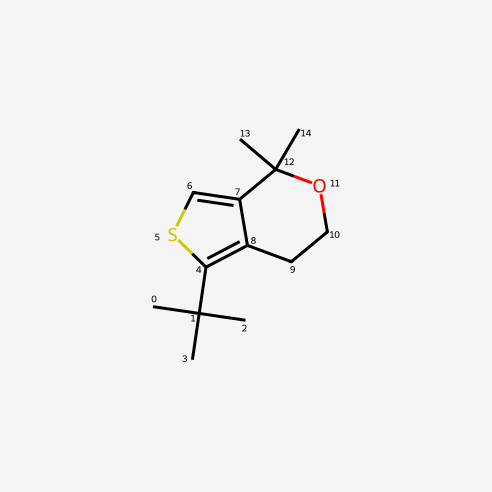 CC(C)(C)c1scc2c1CCOC2(C)C